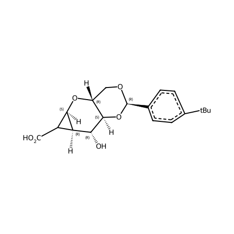 CC(C)(C)c1ccc([C@@H]2OC[C@H]3O[C@@H]4C(C(=O)O)[C@@H]4[C@@H](O)[C@@H]3O2)cc1